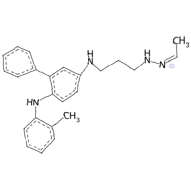 C/C=N\NCCCNc1ccc(Nc2ccccc2C)c(-c2ccccc2)c1